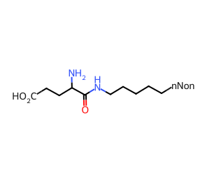 CCCCCCCCCCCCCCNC(=O)C(N)CCC(=O)O